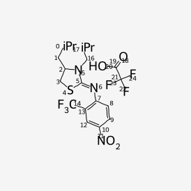 CC(C)CC1CSC(=Nc2ccc([N+](=O)[O-])cc2C(F)(F)F)N1CC(C)C.O=C(O)C(F)(F)F